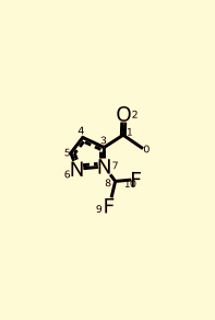 CC(=O)c1ccnn1C(F)F